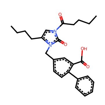 CCCCC(=O)n1cc(CCCC)n(Cc2ccc(-c3ccccc3)c(C(=O)O)c2)c1=O